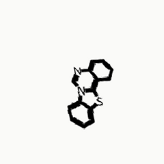 C1=CCC2=C3Sc4ccccc4N3C=NC2=C1